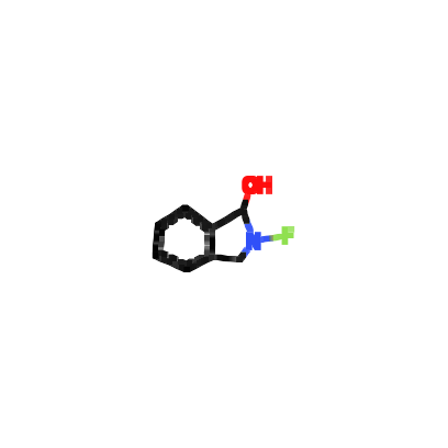 OC1c2ccccc2CN1F